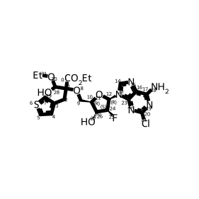 CCOC(=O)C(Cc1ccsc1)(OC[C@H]1O[C@@H](n2cnc3c(N)nc(Cl)nc32)[C@@H](F)[C@@H]1O)C(O)OCC